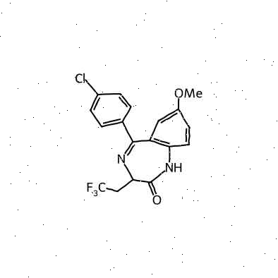 COc1ccc2c(c1)C(c1ccc(Cl)cc1)=NC(CC(F)(F)F)C(=O)N2